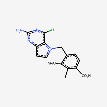 COc1c(Cn2ccc3nc(N)nc(Cl)c32)ccc(C(=O)O)c1C